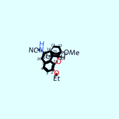 CCOc1ccc2c3c1O[C@H]1[C@]4(OC)CC[C@](CC4)([C@H](NC#N)C2)[C@@]31CC